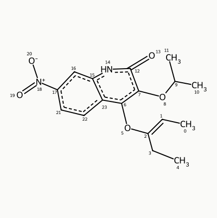 CC=C(CC)Oc1c(OC(C)C)c(=O)[nH]c2cc([N+](=O)[O-])ccc12